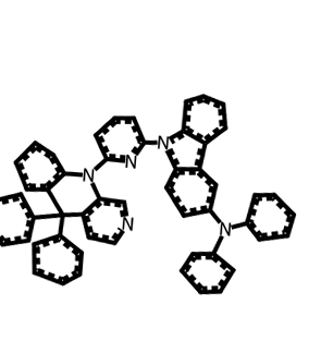 c1ccc(N(c2ccccc2)c2ccc3c(c2)c2ccccc2n3-c2cccc(N3c4ccccc4C(c4ccccc4)(c4ccccc4)c4ccncc43)n2)cc1